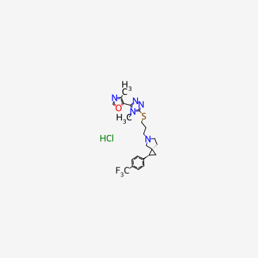 Cc1ncoc1-c1nnc(SCCCN2CC[C@@]3(C[C@H]3c3ccc(C(F)(F)F)cc3)C2)n1C.Cl